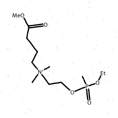 CCOP(C)(=O)OCC[N+](C)(C)CCCC(=O)OC